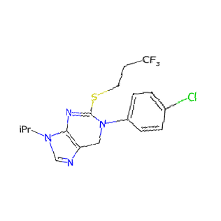 CC(C)n1cnc2c1N=C(SCCC(F)(F)F)N(c1ccc(Cl)cc1)C2